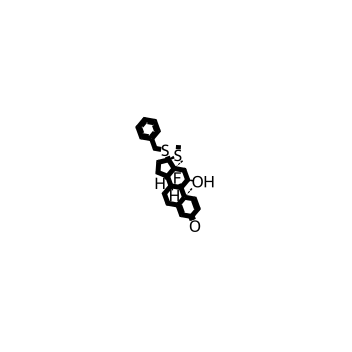 CS[C@]1(SCc2ccccc2)CC[C@H]2[C@@H]3CCC4=CC(=O)C=C[C@]4(C)[C@@]3(F)[C@@H](O)C[C@@]21C